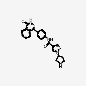 O=C(Nc1ccc(-c2n[nH]c(=O)c3ccccc23)cc1)c1cnn(C2CCNC2)c1